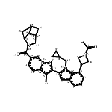 CC(=O)N1CC(c2cccc3cc(-c4nn5cc(C(=O)N6CC7CC8CC6[C@H]87)ccc5c4C)n(CC4CC4)c23)C1